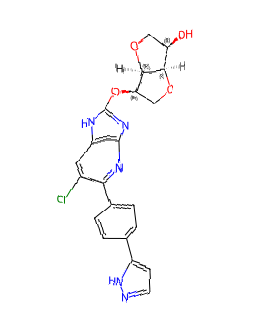 O[C@@H]1CO[C@H]2[C@@H]1OC[C@H]2Oc1nc2nc(-c3ccc(-c4ccn[nH]4)cc3)c(Cl)cc2[nH]1